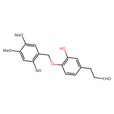 COc1cc(COc2ccc(CCC=O)cc2O)c(N=O)cc1OC